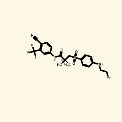 C[C@](O)(CS(=O)(=O)c1ccc(NCCBr)cc1)C(=O)Nc1ccc(C#N)c(C(F)(F)F)c1